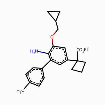 CCOC(=O)C1(c2cc(OCC3CC3)c(N)c(-c3ccc(C)cc3)c2)CCC1